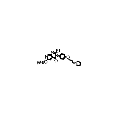 CCc1nc2cnc(OC)cc2c(=O)n1-c1ccc(OCCCN2CCCC2)cc1